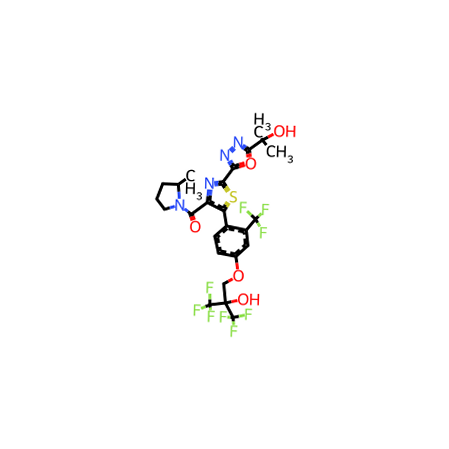 CC1CCCN1C(=O)c1nc(-c2nnc(C(C)(C)O)o2)sc1-c1ccc(OCC(O)(C(F)(F)F)C(F)(F)F)cc1C(F)(F)F